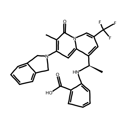 Cc1c(N2Cc3ccccc3C2)cc2c([C@@H](C)Nc3ccccc3C(=O)O)cc(C(F)(F)F)cn2c1=O